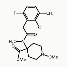 COC(=O)C1(N(C)C(=O)Cc2c(F)ccc(C)c2Cl)CCN(OC)CC1